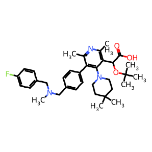 Cc1nc(C)c(C(OC(C)(C)C)C(=O)O)c(N2CCC(C)(C)CC2)c1-c1ccc(CN(C)Cc2ccc(F)cc2)cc1